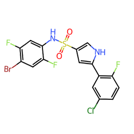 O=S(=O)(Nc1cc(F)c(Br)cc1F)c1c[nH]c(-c2cc(Cl)ccc2F)c1